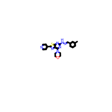 Cc1cccc(/C=N/Nc2nc(N3CCOCC3)c3nc(-c4ccncc4)sc3n2)c1